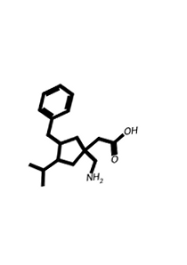 CC(C)C1CC(CN)(CC(=O)O)CC1Cc1ccccc1